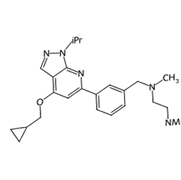 CNCCN(C)Cc1cccc(-c2cc(OCC3CC3)c3cnn(C(C)C)c3n2)c1